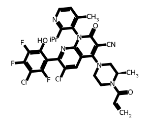 C=CC(=O)N1CCN(c2c(C#N)c(=O)n(-c3c(C)ccnc3C(C)C)c3nc(-c4c(O)c(F)c(F)c(Cl)c4F)c(Cl)cc23)C[C@H]1C